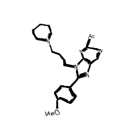 COc1ccc(-c2nc3cnc(C(C)=O)nc3n2CCCN2CCCCC2)cc1